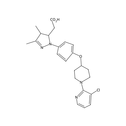 CC1=NN(c2ccc(OC3CCN(c4ncccc4Cl)CC3)cc2)C(CC(=O)O)C1C